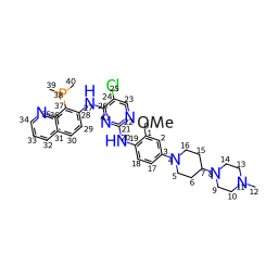 COc1cc(N2CCC(N3CCN(C)CC3)CC2)ccc1Nc1ncc(Cl)c(Nc2ccc3cccnc3c2P(C)C)n1